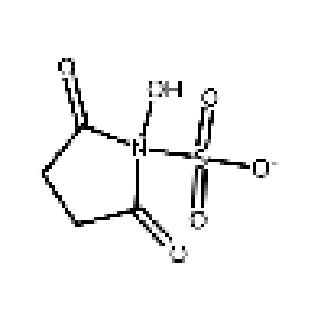 O=C1CCC(=O)[N+]1(O)S(=O)(=O)[O-]